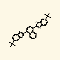 CC(C)(C)c1ccc2nc(-c3ccc(-c4nc5ccc(C(C)(C)C)cc5o4)c4ccccc34)oc2c1